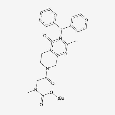 Cc1nc2c(c(=O)n1C(c1ccccc1)c1ccccc1)CCN(C(=O)CN(C)C(=O)OC(C)(C)C)C2